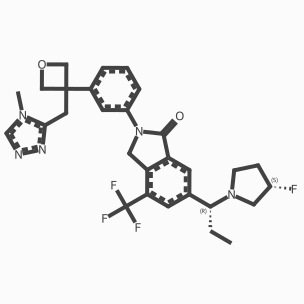 CC[C@H](c1cc2c(c(C(F)(F)F)c1)CN(c1cccc(C3(Cc4nncn4C)COC3)c1)C2=O)N1CC[C@H](F)C1